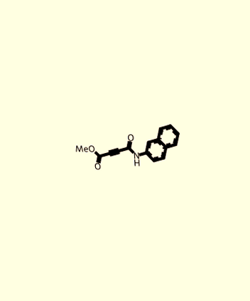 COC(=O)C#CC(=O)Nc1ccc2ccccc2c1